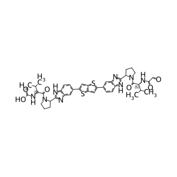 CC(C)[C@H](NC(=O)O)C(=O)N1CCCC1c1nc2cc(-c3cc4sc(-c5ccc6[nH]c(C7CCCN7C(=O)[C@@H](NC(=O)C=O)C(C)C)nc6c5)cc4s3)ccc2[nH]1